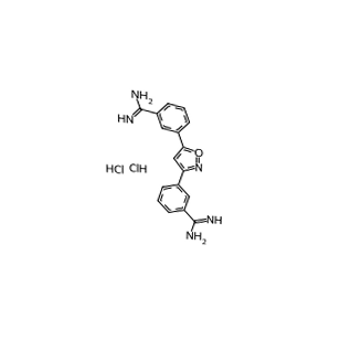 Cl.Cl.N=C(N)c1cccc(-c2cc(-c3cccc(C(=N)N)c3)on2)c1